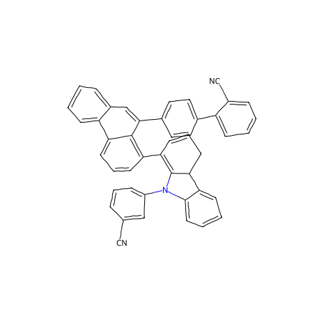 N#Cc1cccc(N2C3=C(c4cccc5c4c(-c4ccc(-c6ccccc6C#N)cc4)cc4ccccc45)C=CCC3c3ccccc32)c1